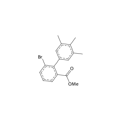 COC(=O)c1cccc(Br)c1-c1cc(C)c(C)c(C)c1